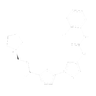 O=C(Nc1cnn(-c2csc(C(=O)NC[C@H]3CCOC3)c2)c1)Nc1ccccc1Cl